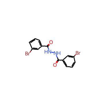 O=C(NNC(=O)c1cccc(Br)c1)c1cccc(Br)c1